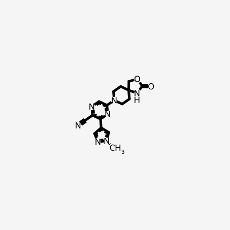 Cn1cc(-c2nc(N3CCC4(CC3)COC(=O)N4)cnc2C#N)cn1